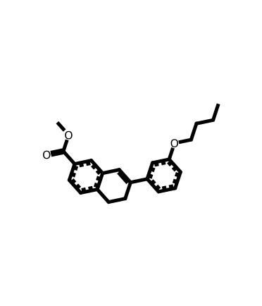 CCCCOc1cccc(C2=Cc3cc(C(=O)OC)ccc3CC2)c1